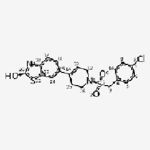 O=S(=O)(Cc1ccc(Cl)cc1)N1CC=C(c2ccc3nc(O)sc3c2)CC1